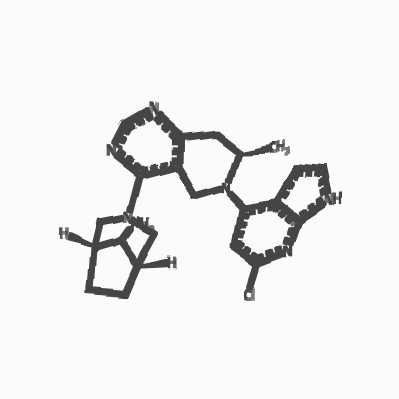 C[C@@H]1Cc2ncnc(N3C[C@H]4CC[C@@H](C3)C4N)c2CN1c1cc(Cl)nc2[nH]ccc12